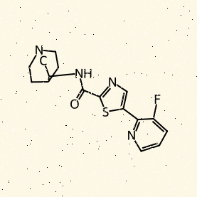 O=C(NC1CN2CCC1CC2)c1ncc(-c2ncccc2F)s1